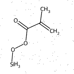 C=C(C)C(=O)OO[SiH3]